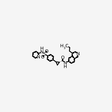 CCCc1cncc2ccc(NC(=O)[C@@H]3CC3c3ccc(S(=O)(=O)Nc4ccccn4)cc3)cc12